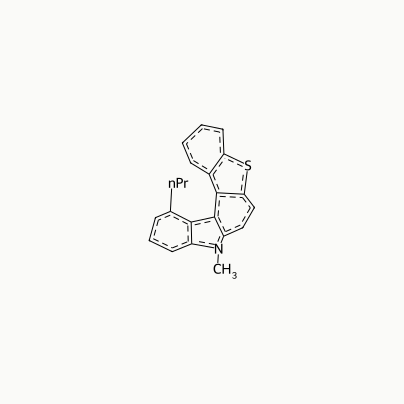 CCCc1cccc2c1c1c3c(ccc1n2C)sc1ccccc13